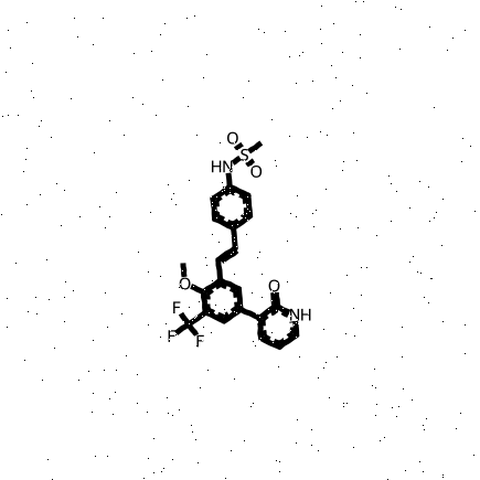 COc1c(C=Cc2ccc(NS(C)(=O)=O)cc2)cc(-c2ccc[nH]c2=O)cc1C(F)(F)F